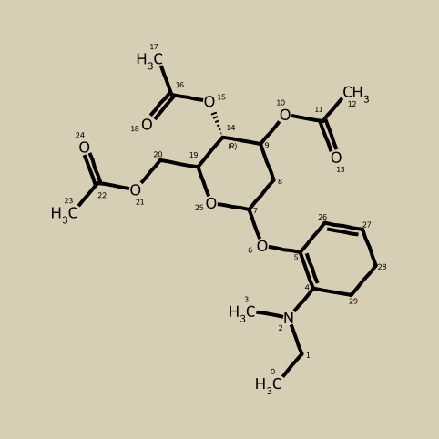 CCN(C)C1=C(OC2CC(OC(C)=O)[C@@H](OC(C)=O)C(COC(C)=O)O2)C=CCC1